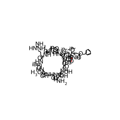 CC[C@H](C)C1NC(=O)[C@@H](CCCNC(=N)N)NC(=O)[C@H](CC(C)C)NC(=O)[C@H]([C@H](O)C(C)C)NC(=O)[C@@H](NC(=O)[C@H](CC(C)C)NC(=O)[C@@H](CC(=O)OCc2ccccc2)NC(=O)OC(C)(C)C)[C@@H](c2ccccc2)OC(=O)[C@H](CO)NC(=O)[C@H]([C@H](O)C(N)=O)NC(=O)CNC(=O)C([C@H](C)O)NC1=O